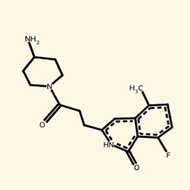 Cc1ccc(F)c2c(=O)[nH]c(CCC(=O)N3CCC(N)CC3)cc12